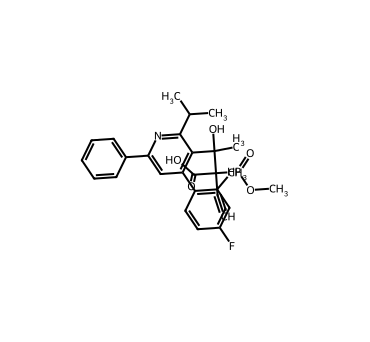 C#CC(C(=O)O)([PH](=O)OC)C(C)(O)c1c(-c2ccc(F)cc2C)cc(-c2ccccc2)nc1C(C)C